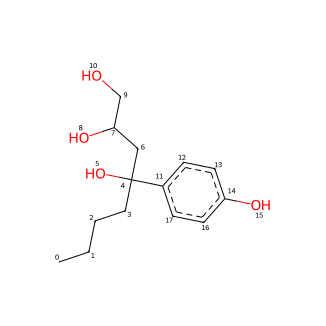 CCCCC(O)(CC(O)CO)c1ccc(O)cc1